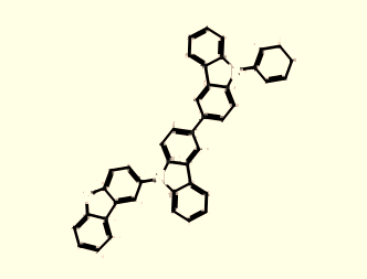 C1=CC(n2c3ccccc3c3cc(-c4ccc5c(c4)c4ccccc4n5-c4ccc5sc6ccccc6c5c4)ccc32)=CCC1